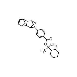 CC(C)(OC(=O)c1ccc(C2CC3CC2C2C4C=CC(C4)C32)cc1)C1CCCCC1